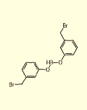 BrCc1cccc(OBOc2cccc(CBr)c2)c1